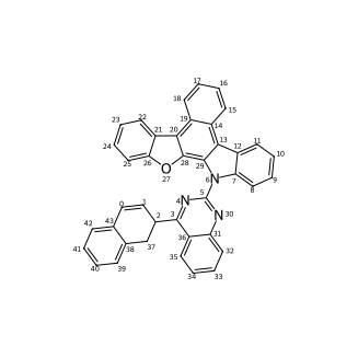 C1=CC(c2nc(-n3c4ccccc4c4c5ccccc5c5c6ccccc6oc5c43)nc3ccccc23)Cc2ccccc21